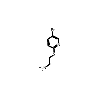 NCCSc1ccc(Br)cn1